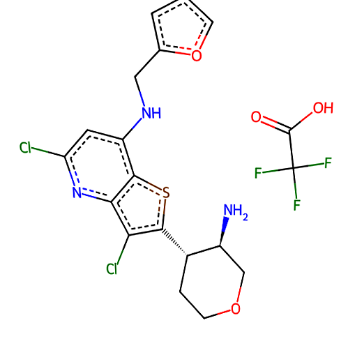 N[C@H]1COCC[C@@H]1c1sc2c(NCc3ccco3)cc(Cl)nc2c1Cl.O=C(O)C(F)(F)F